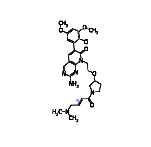 COc1cc(OC)c(Cl)c(-c2cc3cnc(N)nc3n(CCOC3CCN(C(=O)/C=C/CN(C)C)C3)c2=O)c1